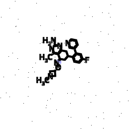 Cc1nc(N)nc2c1/C(=N/OC1CN(C)C1)CC(c1ccc(F)cc1-c1cccnc1)C2